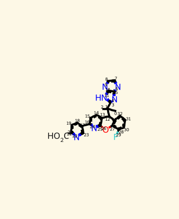 CC(C)(c1nc2nccnc2[nH]1)C1c2ccc(-c3ccc(C(=O)O)nc3)nc2Oc2c(F)cccc21